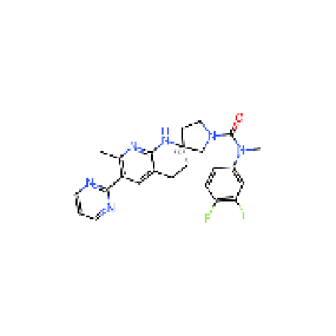 Cc1nc2c(cc1-c1ncccn1)CC[C@@]1(CCN(C(=O)N(C)c3ccc(F)c(F)c3)C1)N2